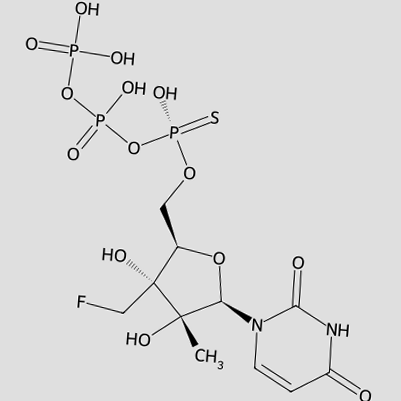 C[C@]1(O)[C@H](n2ccc(=O)[nH]c2=O)O[C@H](CO[P@](O)(=S)OP(=O)(O)OP(=O)(O)O)[C@]1(O)CF